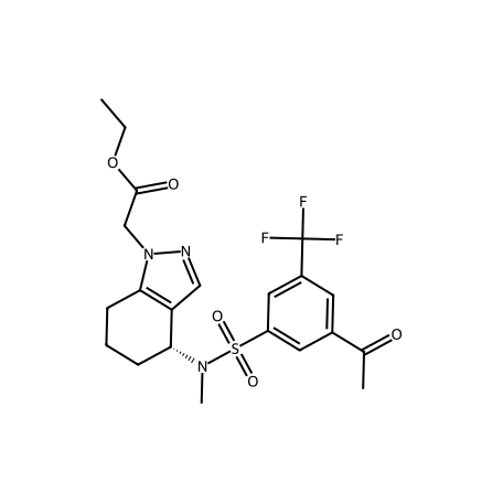 CCOC(=O)Cn1ncc2c1CCC[C@H]2N(C)S(=O)(=O)c1cc(C(C)=O)cc(C(F)(F)F)c1